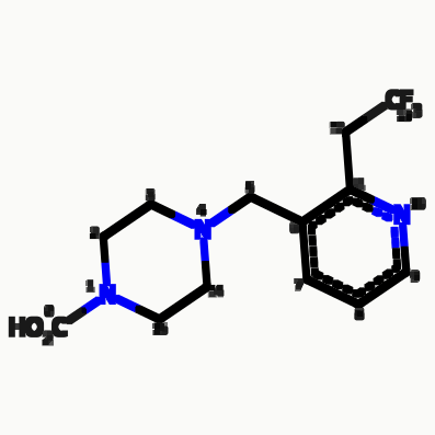 O=C(O)N1CCN(Cc2cccnc2CC(F)(F)F)CC1